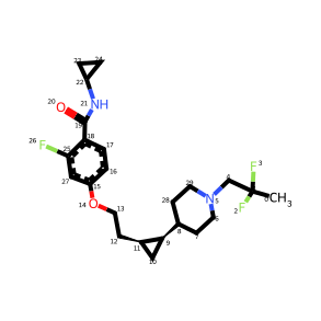 CC(F)(F)CN1CCC([C@H]2C[C@H]2CCOc2ccc(C(=O)NC3CC3)c(F)c2)CC1